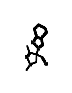 CC1=NN(C)CC1(C=O)n1cc2ccccc2n1